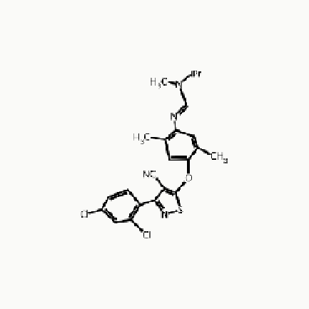 Cc1cc(Oc2snc(-c3ccc(Cl)cc3Cl)c2C#N)c(C)cc1N=CN(C)C(C)C